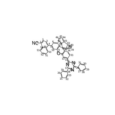 N#Cc1ccc(-c2ccc3c(c2)Oc2cc(-c4nc(-c5ccccc5)nc(-c5ccccc5)n4)ccc2C32c3ccccc3-c3ccccc32)c2ccccc12